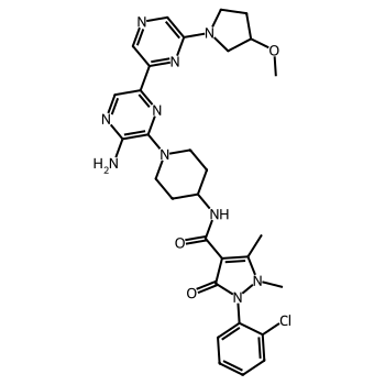 COC1CCN(c2cncc(-c3cnc(N)c(N4CCC(NC(=O)c5c(C)n(C)n(-c6ccccc6Cl)c5=O)CC4)n3)n2)C1